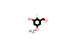 COc1cc(Br)c(F)c(C=O)c1